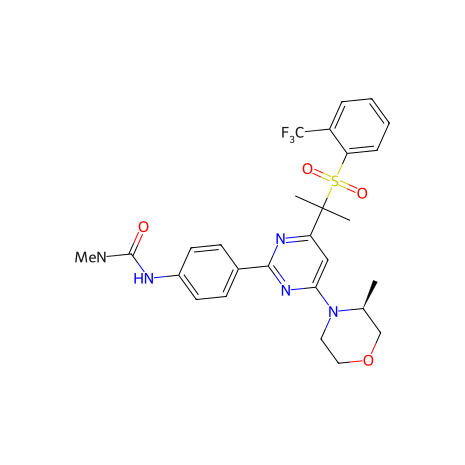 CNC(=O)Nc1ccc(-c2nc(N3CCOC[C@@H]3C)cc(C(C)(C)S(=O)(=O)c3ccccc3C(F)(F)F)n2)cc1